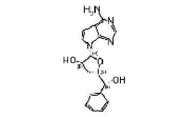 Nc1ncnc2c1ccn2[C@@H]1O[C@H]([C@H](O)c2ccccc2)C[C@H]1O